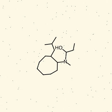 CCC(O)N(C)C1CCCCCCC1CC(C)C